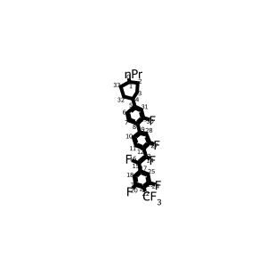 CCCC1CCC(c2ccc(-c3ccc(/C(F)=C(\F)c4cc(F)c(C(F)(F)F)c(F)c4)c(F)c3)c(F)c2)CC1